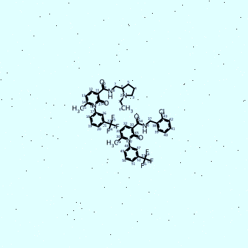 CCN1CCCC1CNC(=O)c1ccc(C)n(-c2cccc(C(F)(F)F)c2)c1=O.Cc1ccc(C(=O)NCc2ccccc2Cl)c(=O)n1-c1cccc(C(F)(F)F)c1